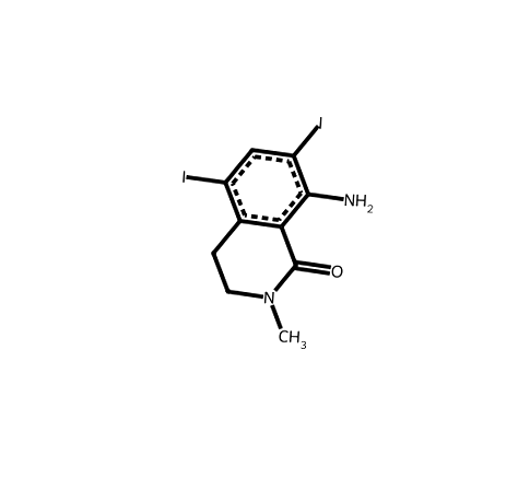 CN1CCc2c(I)cc(I)c(N)c2C1=O